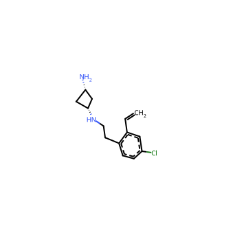 C=Cc1cc(Cl)ccc1CCN[C@H]1C[C@@H](N)C1